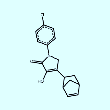 O=C1C(O)=C(C2CC3C=CC2C3)CN1c1ccc(Cl)cc1